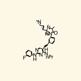 CCCNc1nc(Nc2cccc(F)c2)ncc1C#Cc1cccc(NC(=O)C(C)N(C)C(=O)/C=C/CN(C)C)c1